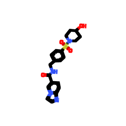 O=C(NCc1ccc(S(=O)(=O)N2CCC(O)CC2)cc1)c1ccc2nccn2c1